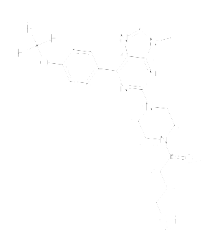 Cn1cnc2c(-c3ccc(OC(F)(F)F)cc3)nc(N3CCN(C(=O)CCCO)CC3)nc21